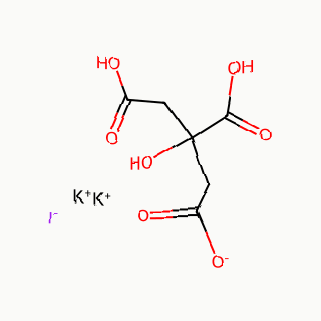 O=C([O-])CC(O)(CC(=O)O)C(=O)O.[I-].[K+].[K+]